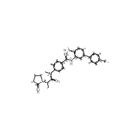 CC(C(=O)N(C)c1ccc(C(=O)Nc2cc(-c3ccc(F)cc3)ccc2N)cc1)N1CCCC1=O